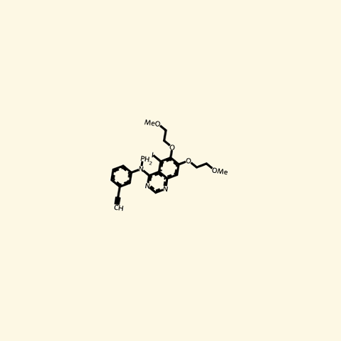 C#Cc1cccc(N(P)c2ncnc3cc(OCCOC)c(OCCOC)c(I)c23)c1